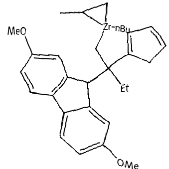 CCC[CH2][Zr]1([CH2]C(CC)(C2=CC=CC2)C2c3cc(OC)ccc3-c3ccc(OC)cc32)[CH2][CH]1C